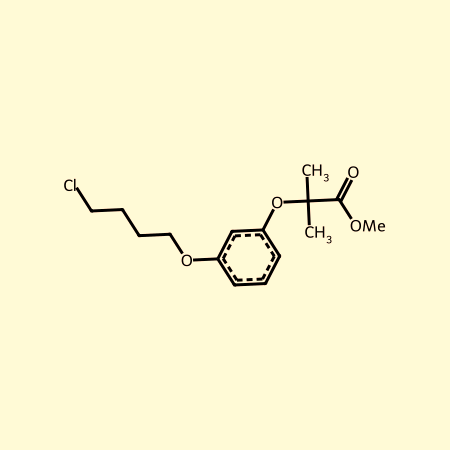 COC(=O)C(C)(C)Oc1cccc(OCCCCCl)c1